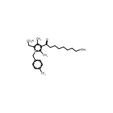 CCCCCCCCCCCCCCCCCC(=O)c1c(C)c(CC(=O)O)n(Cc2ccc(C(F)(F)F)cc2)c1C